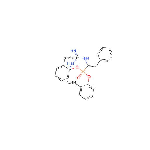 CC(=O)Nc1ccccc1OP(=O)(Oc1ccccc1NC(C)=O)C(Cc1ccccc1)NC(=N)N